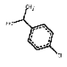 [CH2]C(O)c1ccc(Cl)cc1